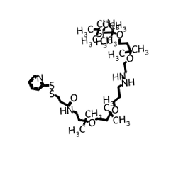 CC(C)(CCNC(=O)CCSSc1ccccn1)OCCC(C)(C)OCCCNNCCOC(C)(C)CCOC(C)(C)[Si](C)(C)C(C)(C)C